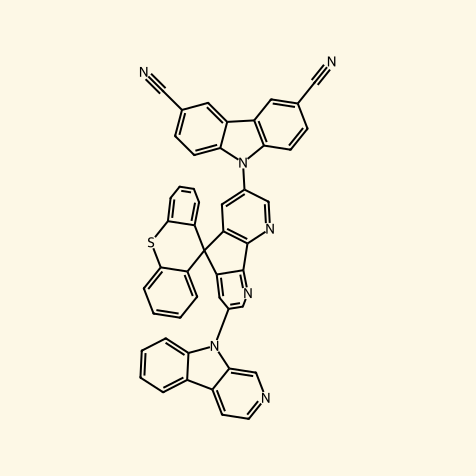 N#Cc1ccc2c(c1)c1cc(C#N)ccc1n2-c1cnc2c(c1)C1(c3ccccc3Sc3ccccc31)c1cc(-n3c4ccccc4c4ccncc43)cnc1-2